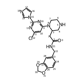 O=C(CC1CNCCN1c1cc(Cl)nc(-n2ccnc2)n1)NCc1ccc2c(c1)OCO2